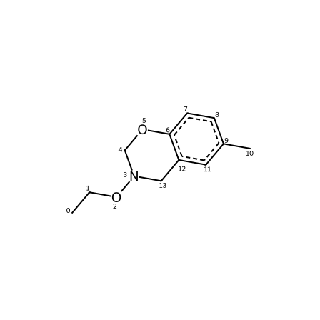 CCON1COc2ccc(C)cc2C1